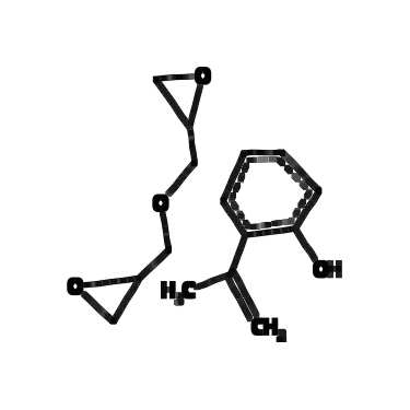 C(OCC1CO1)C1CO1.C=C(C)c1ccccc1O